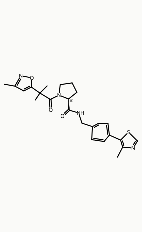 Cc1cc(C(C)(C)C(=O)N2CCC[C@H]2C(=O)NCc2ccc(-c3scnc3C)cc2)on1